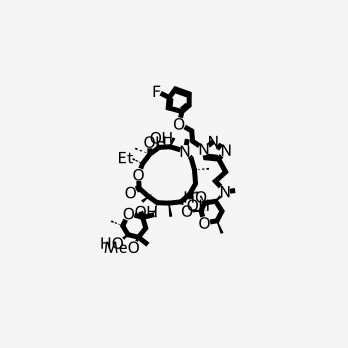 CC[C@H]1OC(=O)[C@H](C)[C@@H](CC2(O)C[C@@](C)(OC)[C@@H](O)[C@H](C)O2)[C@H](C)[C@@H](O[C@@H]2O[C@H](C)C[C@H](N(C)CCc3cn(CCOc4cccc(F)c4)nn3)[C@H]2O)[C@](C)(O)C[C@@H](C)CN(C)[C@H](C)[C@@H](O)[C@]1(C)O